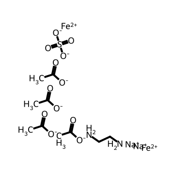 CC(=O)[O-].CC(=O)[O-].CC(=O)[O-].CC(=O)[O-].NCCN.O=S(=O)([O-])[O-].[Fe+2].[Fe+2].[Na+].[Na+]